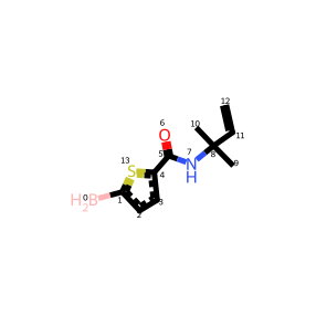 Bc1ccc(C(=O)NC(C)(C)C=C)s1